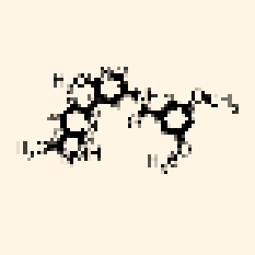 COc1cc(OC)cc(C(=O)Nc2cnc(C)c(-c3ccc4c(C)n[nH]c4n3)c2)c1